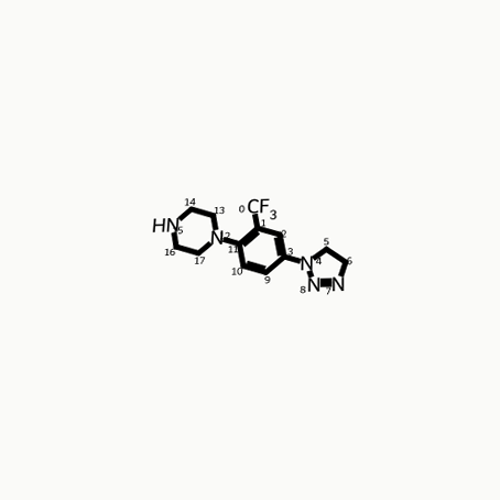 FC(F)(F)c1cc(N2CCN=N2)ccc1N1CCNCC1